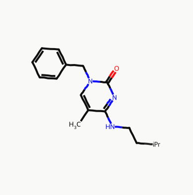 Cc1cn(Cc2ccccc2)c(=O)nc1NCCC(C)C